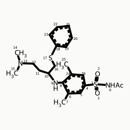 CC(=O)NS(=O)(=O)c1cc(C)c(NC(CCN(C)C)CSc2ccccc2)c(C)c1